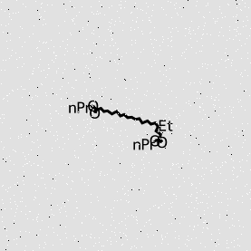 CCCOC(=O)CCCCCCCCCCCCCCCC(CC)CCC(=O)OCCC